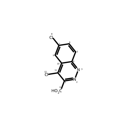 O=C(O)c1nnc2ccc(Cl)cc2c1Cl